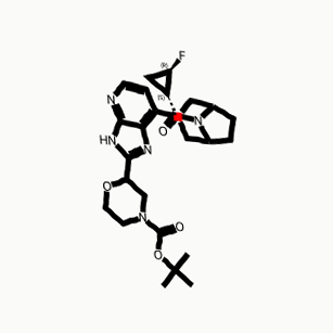 CC(C)(C)OC(=O)N1CCOC(c2nc3c(N4CC5CCC(C4)N5C(=O)[C@@H]4C[C@H]4F)ccnc3[nH]2)C1